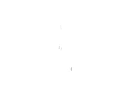 OC1CCN(CCI)CC1